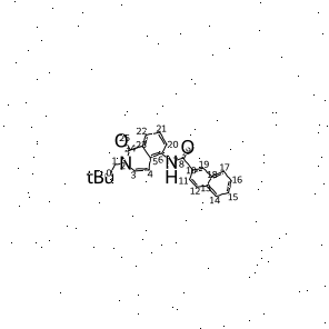 CC(C)(C)Cn1ccc2c(NC(=O)c3ccc4ccccc4c3)cccc2c1=O